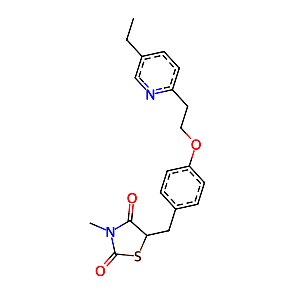 CCc1ccc(CCOc2ccc(CC3SC(=O)N(C)C3=O)cc2)nc1